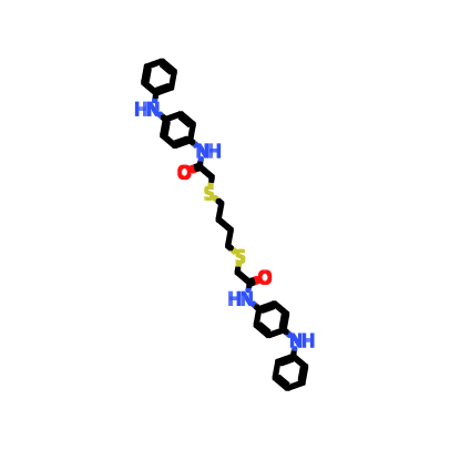 O=C(CSCCCCSCC(=O)Nc1ccc(Nc2ccccc2)cc1)Nc1ccc(Nc2ccccc2)cc1